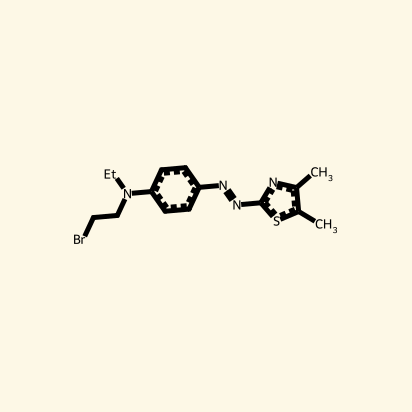 CCN(CCBr)c1ccc(/N=N/c2nc(C)c(C)s2)cc1